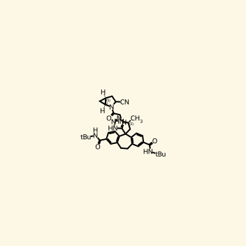 C[C@@H](CC1(c2nnn[nH]2)c2ccc(C(=O)NC(C)(C)C)cc2CCc2cc(C(=O)NC(C)(C)C)ccc21)NCC(=O)N1C(C#N)C[C@@H]2C[C@@H]21